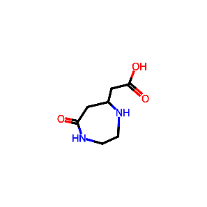 O=C(O)CC1CC(=O)NCCN1